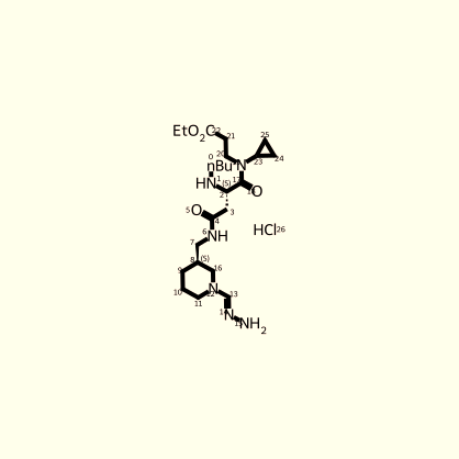 CCCCN[C@@H](CC(=O)NC[C@@H]1CCCN(C=NN)C1)C(=O)N(CCC(=O)OCC)C1CC1.Cl